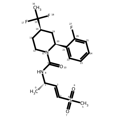 C[C@@H](/C=C/S(C)(=O)=O)NC(=O)N1CC[C@@H](C(C)(F)F)C[C@H]1c1ccccc1F